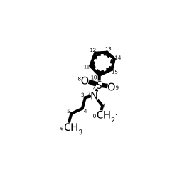 [CH2]CN(CCCC)S(=O)(=O)c1ccccc1